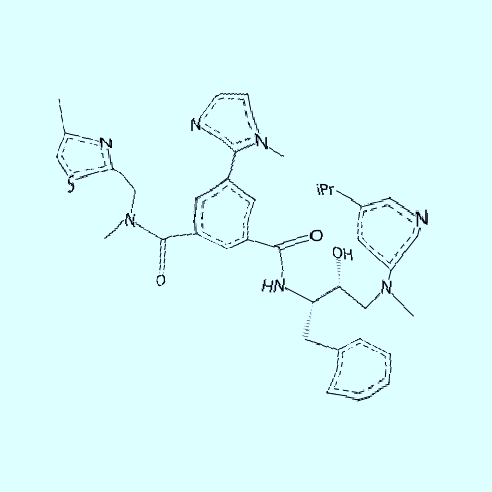 Cc1csc(CN(C)C(=O)c2cc(C(=O)N[C@@H](Cc3ccccc3)[C@H](O)CN(C)c3cncc(C(C)C)c3)cc(-c3nccn3C)c2)n1